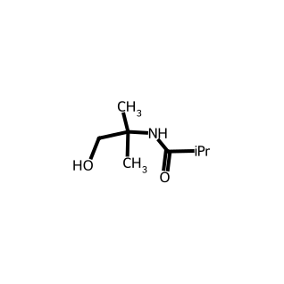 CC(C)C(=O)NC(C)(C)CO